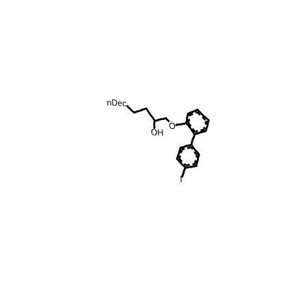 CCCCCCCCCCCCC(O)COc1ccccc1-c1ccc(I)cc1